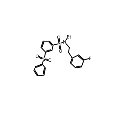 CCN(CCc1cccc(F)c1)S(=O)(=O)c1cccc(S(=O)(=O)c2ccccc2)c1